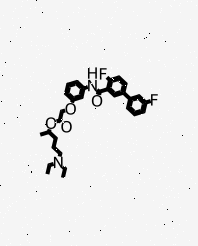 CCN(CC)CCCC(C)OC(=O)COc1cccc(NC(=O)c2cc(-c3cccc(F)c3)ccc2F)c1